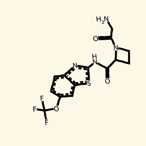 NCC(=O)N1CCC1C(=O)Nc1nc2ccc(OC(F)(F)F)cc2s1